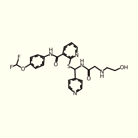 O=C(CNCCO)NC(Sc1ncccc1C(=O)Nc1ccc(OC(F)F)cc1)c1ccncc1